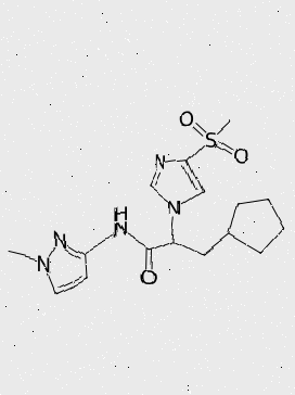 Cn1ccc(NC(=O)C(CC2CCCC2)n2cnc(S(C)(=O)=O)c2)n1